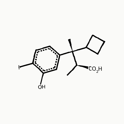 C[C@H](C(=O)O)[C@](C)(c1ccc(I)c(O)c1)C1CCC1